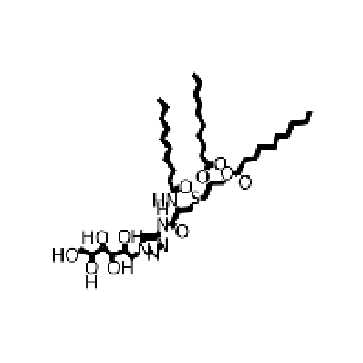 CCCCCCCCCC(=O)NC(CSCC(COC(=O)CCCCCCCCC)OC(=O)CCCCCCCCC)C(=O)Nc1cn(CC(O)C(O)C(O)C(O)CO)nn1